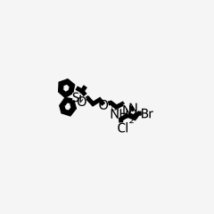 CC(C)(C)[Si](OCCCOC[C@@H](N)Cn1nc(Br)cc1CCl)(c1ccccc1)c1ccccc1